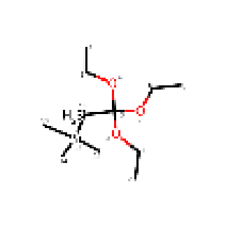 CCOC(OCC)(OCC)[SiH2][Si](C)(C)C